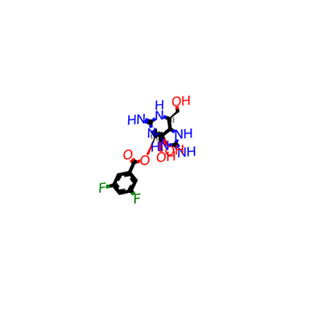 N=C1NC2[C@H](CO)NC(=N)N3C[C@H](OC(=O)c4cc(F)cc(F)c4)C(O)(O)[C@]23N1